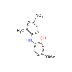 COc1ccc(Nc2ccc([N+](=O)[O-])cc2C)c(O)c1